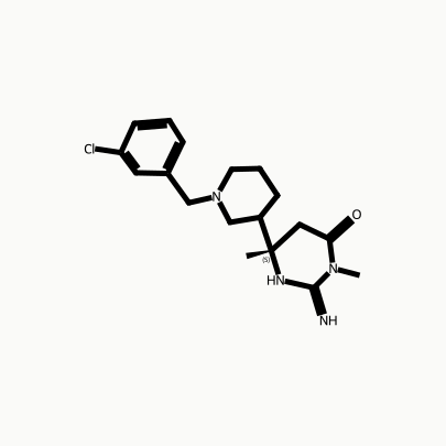 CN1C(=N)N[C@](C)(C2CCCN(Cc3cccc(Cl)c3)C2)CC1=O